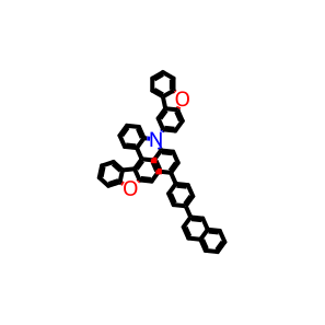 c1ccc(N(c2ccc(-c3ccc(-c4ccc5ccccc5c4)cc3)cc2)c2ccc3oc4ccccc4c3c2)c(-c2cccc3oc4ccccc4c23)c1